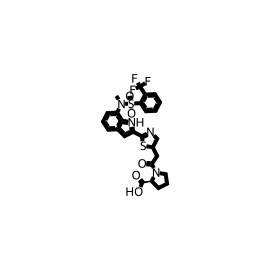 CN(c1cccc2cc(C3=NCC(CC(=O)N4CCC[C@H]4C(=O)O)S3)[nH]c12)S(=O)(=O)c1ccccc1C(F)(F)F